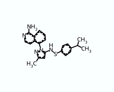 Cc1cc(NSc2ccc(C(C)C)cc2)n(-c2cccc3c(N)nccc23)n1